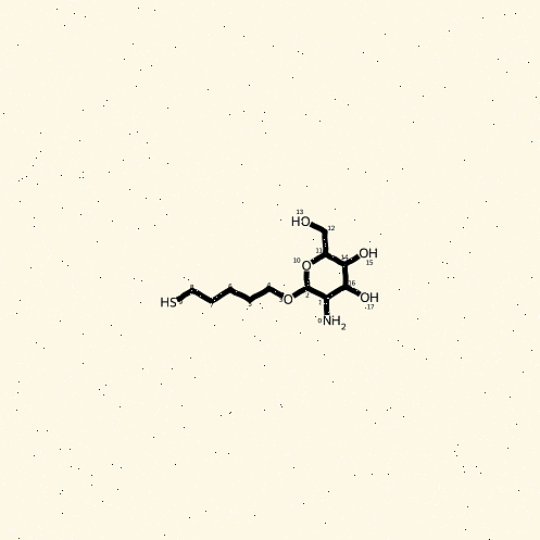 NC1C(OCCCCCS)OC(CO)C(O)C1O